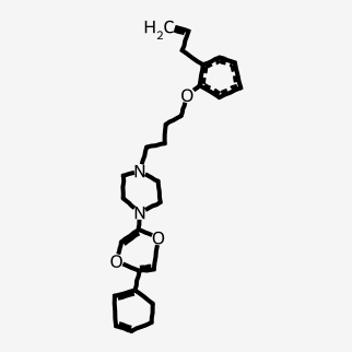 C=CCc1ccccc1OCCCCN1CCN(C2=COC(C3=CC=CCC3)=CO2)CC1